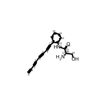 C#CC#CC#CC#Cc1ccccc1NC(=O)[C@H](N)CO